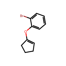 Brc1ccccc1OC1=CCCC1